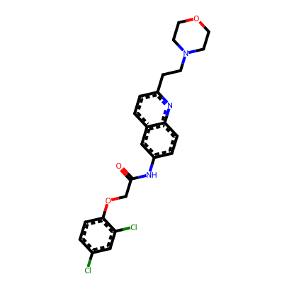 O=C(COc1ccc(Cl)cc1Cl)Nc1ccc2nc(CCN3CCOCC3)ccc2c1